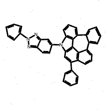 c1ccc(-c2cc3c4c5c(cccc25)-c2ccccc2-c2cccc(c24)n3-c2ccc3nn(-c4ccccc4)nc3c2)cc1